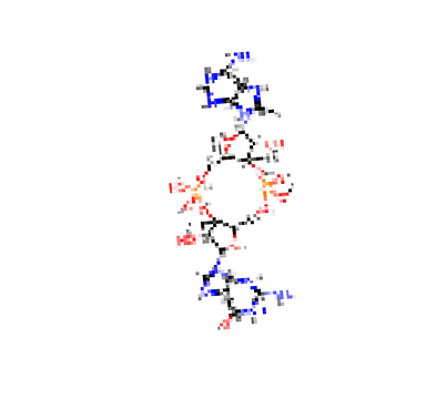 COP1(=O)OCC2O[C@@H](n3cnc4c(=O)[nH]c(N)nc43)[C@H](O)[C@@H]2OP(=O)(O)OC[C@H]2O[C@@H](n3c(C)nc4c(N)ncnc43)[C@H](O)[C@@H]2O1